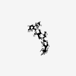 CCC(CN(CCOC)c1ncc(C(F)(F)F)cn1)N(C)C(=O)c1nc(C)ccc1-n1nccn1